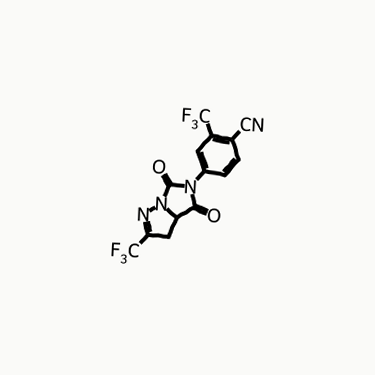 N#Cc1ccc(N2C(=O)C3CC(C(F)(F)F)=NN3C2=O)cc1C(F)(F)F